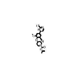 C=C(C)OC(=O)N1CCC(Oc2c(C#N)cc(-c3ccnc(Cl)n3)cc2OC)CC1